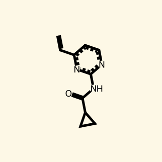 C=Cc1ccnc(NC(=O)C2CC2)n1